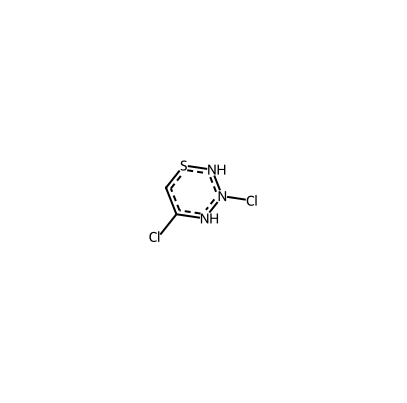 Clc1cs[nH]n(Cl)[nH]1